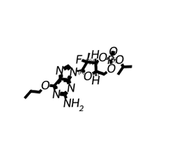 CCCOc1nc(N)nc2c1ncn2[C@@H]1O[C@@H]2CO[P@@](=O)(OC(C)C)O[C@H]2[C@@]1(C)F